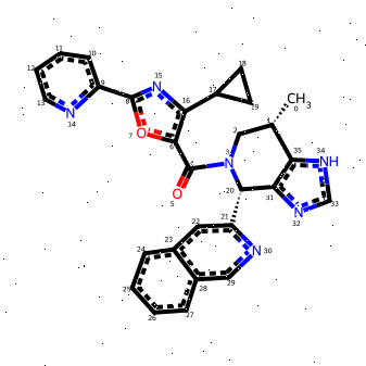 C[C@H]1CN(C(=O)c2oc(-c3ccccn3)nc2C2CC2)[C@@H](c2cc3ccccc3cn2)c2nc[nH]c21